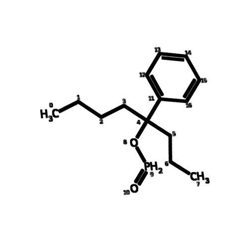 CCCCC(CCC)(O[PH2]=O)c1ccccc1